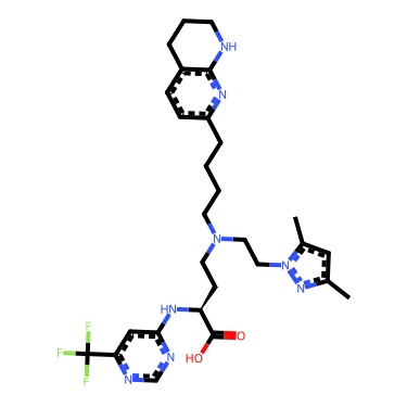 Cc1cc(C)n(CCN(CCCCc2ccc3c(n2)NCCC3)CC[C@H](Nc2cc(C(F)(F)F)ncn2)C(=O)O)n1